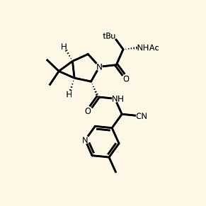 CC(=O)N[C@H](C(=O)N1C[C@H]2[C@@H]([C@H]1C(=O)NC(C#N)c1cncc(C)c1)C2(C)C)C(C)(C)C